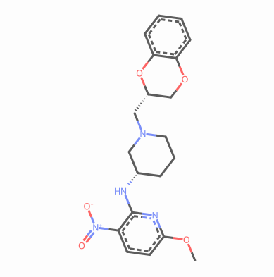 COc1ccc([N+](=O)[O-])c(N[C@H]2CCCN(C[C@H]3COc4ccccc4O3)C2)n1